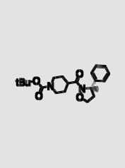 CC(C)(C)OC(=O)N1CCC(C(=O)N2OCC[C@H]2c2ccccc2)CC1